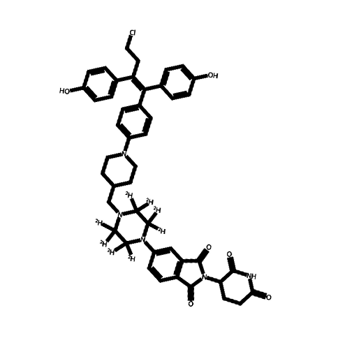 [2H]C1([2H])N(CC2CCN(c3ccc(C(=C(CCCl)c4ccc(O)cc4)c4ccc(O)cc4)cc3)CC2)C([2H])([2H])C([2H])([2H])N(c2ccc3c(c2)C(=O)N(C2CCC(=O)NC2=O)C3=O)C1([2H])[2H]